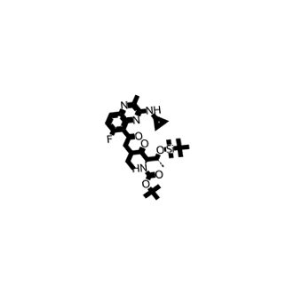 CCC(CC(=O)c1c(F)ccc2nc(C)c(NC3CC3)nc12)C(=O)[C@@H](NC(=O)OC(C)(C)C)[C@@H](C)O[Si](C)(C)C(C)(C)C